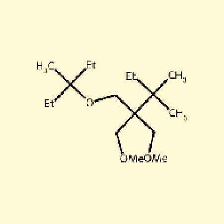 CCC(C)(CC)OCC(COC)(COC)C(C)(C)CC